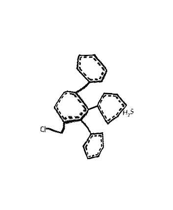 ClCc1ccc(-c2ccccc2)c(-c2ccccc2)c1-c1ccccc1.S